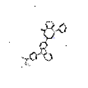 C=C1/C=C(c2ccc3c(c2)c2c(n3-c3ccc(C(C)N)cc3)CCC=C2)\C=C/N(c2ccccc2)c2ccccc21